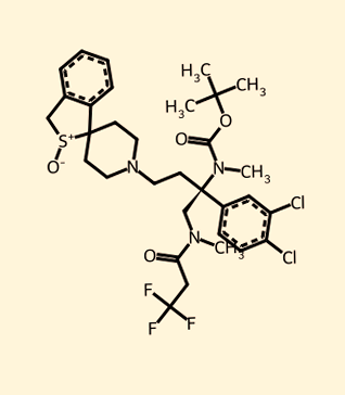 CN(C[C@](CCN1CCC2(CC1)c1ccccc1C[S+]2[O-])(c1ccc(Cl)c(Cl)c1)N(C)C(=O)OC(C)(C)C)C(=O)CC(F)(F)F